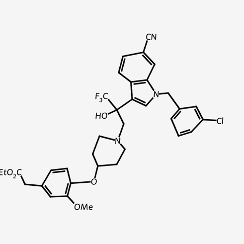 CCOC(=O)Cc1ccc(OC2CCN(CC(O)(c3cn(Cc4cccc(Cl)c4)c4cc(C#N)ccc34)C(F)(F)F)CC2)c(OC)c1